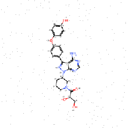 Nc1ncnc2c1c(-c1ccc(Oc3ccc(O)cc3)cc1)nn2C1CCCN(C(=O)C(O)CO)C1